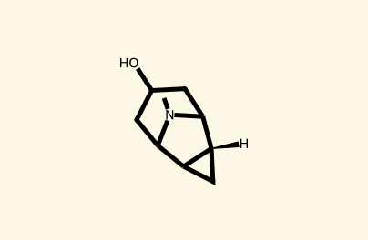 CN1C2CC(O)CC1[C@@H]1CC21